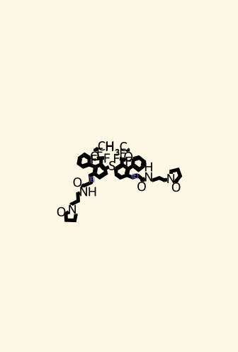 CCOc1ccccc1-c1c(/C=C/C(=O)NCCCN2CCCC2=O)ccc(Sc2ccc(/C=C/C(=O)NCCCN3CCCC3=O)c(-c3ccccc3OCC)c2C(F)(F)F)c1C(F)(F)F